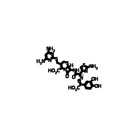 Nc1cc(N)nc(SCC2=C(C(=O)O)N3C(=O)C(NC(=O)/C(=N\O[C@H](C(=O)O)c4ccc(O)c(O)c4)c4csc(N)n4)[C@@H]3SC2)n1